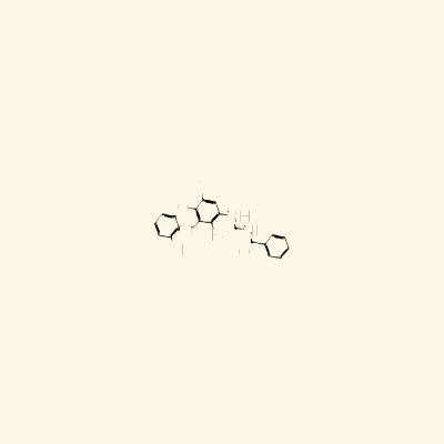 O=C(NC(=O)c1ccccc1)Nc1cc(Cl)c(Oc2cccc(C(F)(F)F)c2)c(Cl)c1F